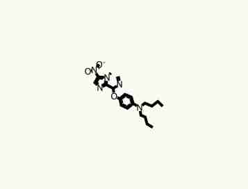 C=NC(Oc1ccc(N(CCCC)CCCC)cc1)c1ncc([N+](=O)[O-])n1C